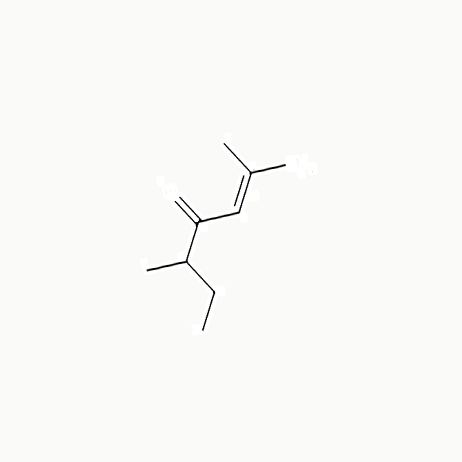 B/C(C)=C/C(=O)C(C)CC